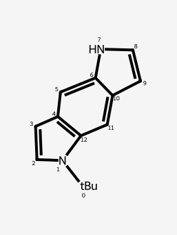 CC(C)(C)n1ccc2cc3[nH]ccc3cc21